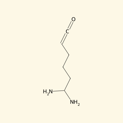 NC(N)CCCC=C=O